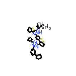 C=C/C=C(\C=C)C1NC(C2=CC=C3c4c(cccc4-c4nc(-c5ccccc5)nc(-c5cccc(-c6ccccc6)c5)n4)SC3C2)=Nc2c1sc1ccccc21